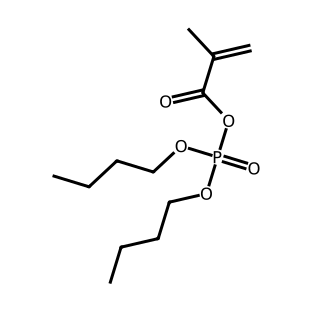 C=C(C)C(=O)OP(=O)(OCCCC)OCCCC